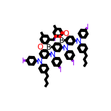 CCCCc1ccc(N(c2ccc(I)cc2)c2cc3c4c(c2)N(c2ccc(I)cc2)c2cc5c(cc2B4c2c(I)cc(C)cc2O3)B2c3c(CCCC)cc(C)cc3Oc3cc(N(c4ccc(I)cc4)c4ccc(CCCC)cc4)cc(c32)N5c2ccc(I)cc2)cc1